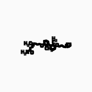 Cc1c(OCCCN(C)CCC(N)=O)cccc1-c1cccc(OCCCN2CCCC2)c1C